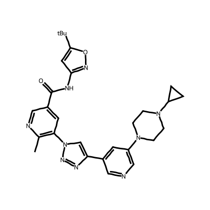 Cc1ncc(C(=O)Nc2cc(C(C)(C)C)on2)cc1-n1cc(-c2cncc(N3CCN(C4CC4)CC3)c2)nn1